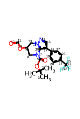 CC(C)(C)OC(=O)N1CC(OC=O)Cn2ncc(-c3ccc(C(F)(F)F)cc3)c21